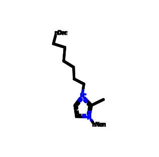 CCCCCCCCCCCCCCCC[n+]1ccn(CCCCCCCCC)c1C